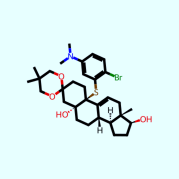 CN(C)c1ccc(Br)c(S[C@]23CCC4(C[C@]2(O)CC[C@@H]2C3=CC[C@]3(C)[C@@H](O)CC[C@@H]23)OCC(C)(C)CO4)c1